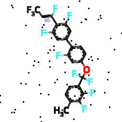 Cc1ccc(C(F)(F)Oc2ccc(-c3cc(F)c(/C(F)=C/C(F)(F)F)c(F)c3)c(F)c2)c(F)c1F